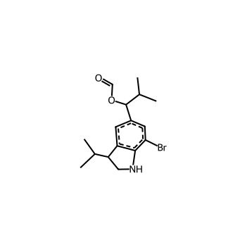 CC(C)C1CNc2c(Br)cc(C(OC=O)C(C)C)cc21